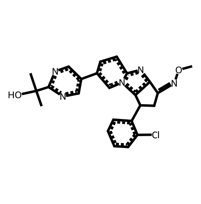 CO/N=C1/CC(c2ccccc2Cl)c2c1nc1ccc(-c3cnc(C(C)(C)O)nc3)cn21